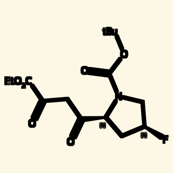 CCOC(=O)C(=O)CC(=O)[C@@H]1C[C@H](F)CN1C(=O)OC(C)(C)C